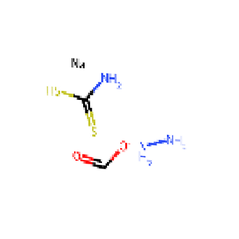 NC(=S)S.NN.O=C[O-].[Na+]